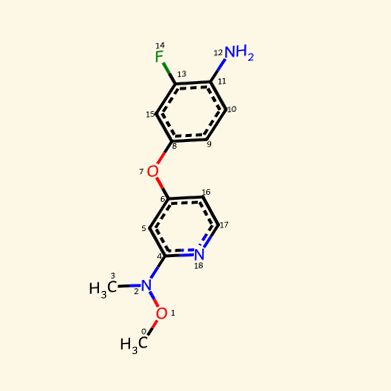 CON(C)c1cc(Oc2ccc(N)c(F)c2)ccn1